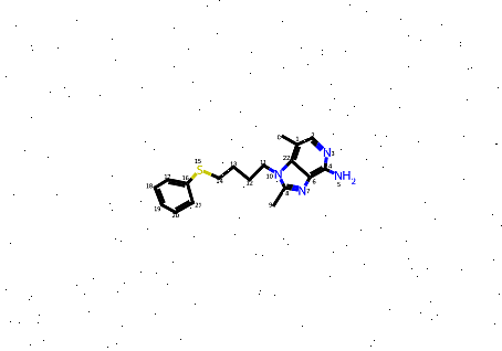 Cc1cnc(N)c2nc(C)n(CCCCSc3ccccc3)c12